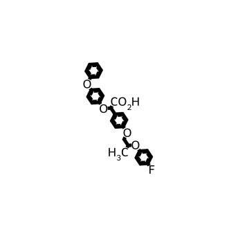 CC(COc1ccc(C(Oc2ccc(Oc3ccccc3)cc2)C(=O)O)cc1)Oc1ccc(F)cc1